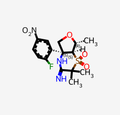 C[C@H]1OC[C@]2(c3cc([N+](=O)[O-])ccc3F)NC(=N)C(C)(C)S(=O)(=O)[C@H]12